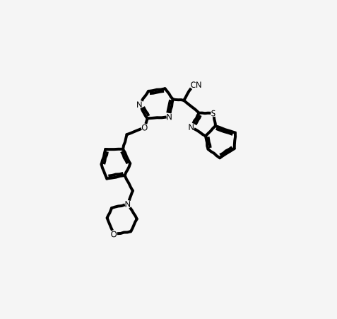 N#CC(c1ccnc(OCc2cccc(CN3CCOCC3)c2)n1)c1nc2ccccc2s1